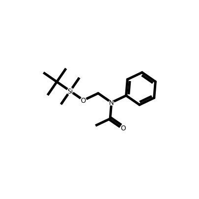 CC(=O)N(CO[Si](C)(C)C(C)(C)C)c1ccccc1